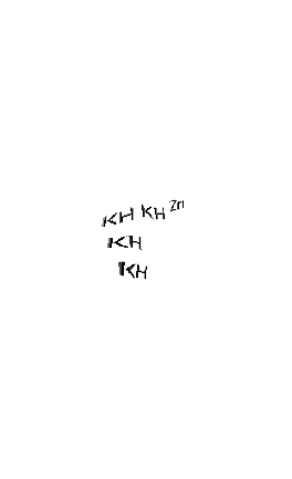 [KH].[KH].[KH].[KH].[Zn]